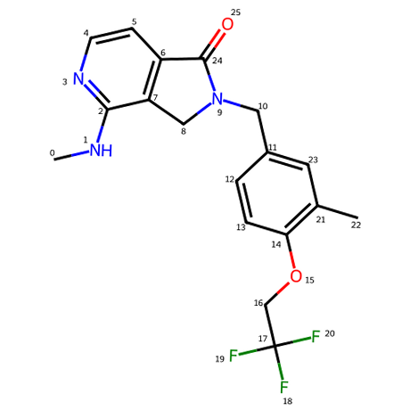 CNc1nccc2c1CN(Cc1ccc(OCC(F)(F)F)c(C)c1)C2=O